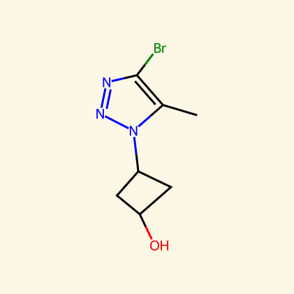 Cc1c(Br)nnn1C1CC(O)C1